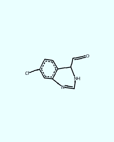 O=CC1NC=Nc2cc(Cl)ccc21